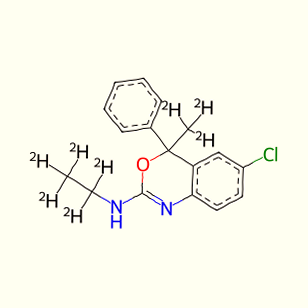 [2H]C([2H])([2H])C([2H])([2H])NC1=Nc2ccc(Cl)cc2C(c2ccccc2)(C([2H])([2H])[2H])O1